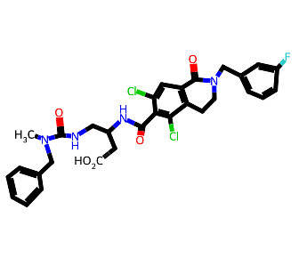 CN(Cc1ccccc1)C(=O)NCC(CC(=O)O)NC(=O)c1c(Cl)cc2c(c1Cl)CCN(Cc1cccc(F)c1)C2=O